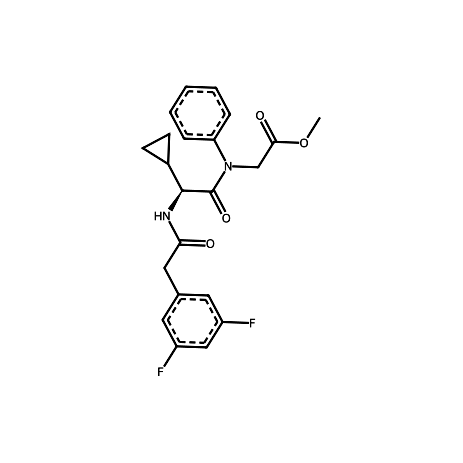 COC(=O)CN(C(=O)[C@@H](NC(=O)Cc1cc(F)cc(F)c1)C1CC1)c1ccccc1